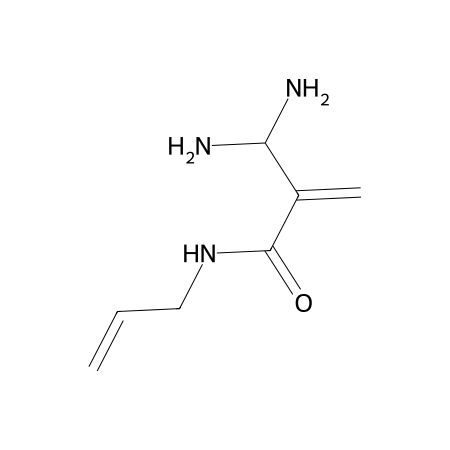 C=CCNC(=O)C(=C)C(N)N